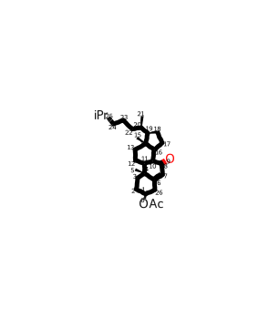 CC(=O)O[C@H]1CC[C@@]2(C)C(=CC(=O)C3C2CC[C@@]2(C)C3CC[C@@H]2[C@H](C)CCCC(C)C)C1